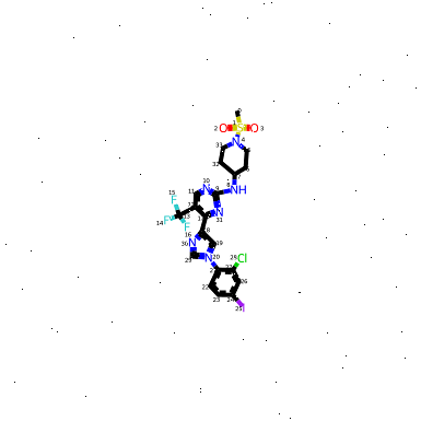 CS(=O)(=O)N1CCC(Nc2ncc(C(F)(F)F)c(-c3cn(-c4ccc(I)cc4Cl)cn3)n2)CC1